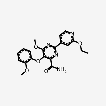 CCOc1cc(-c2nc(OC)c(Oc3ccccc3OC)c(C(N)=O)n2)ccn1